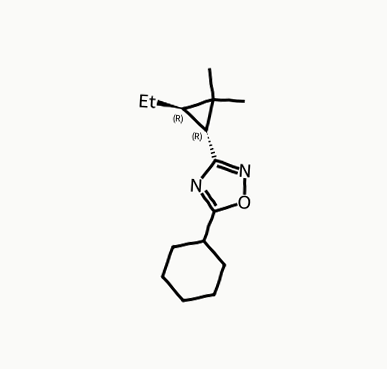 CC[C@@H]1[C@@H](c2noc(C3CCCCC3)n2)C1(C)C